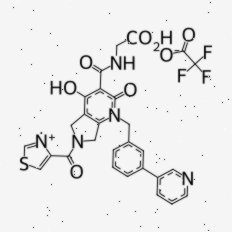 O=C(O)CNC(=O)c1c(O)c2c(n(Cc3cccc(-c4cccnc4)c3)c1=O)CN(C(=O)C1=CSC=[N+]1)C2.O=C([O-])C(F)(F)F